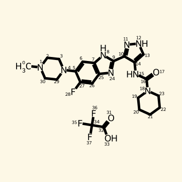 CN1CCN(c2cc3[nH]c(-c4n[nH]cc4NC(=O)N4CCCCC4)nc3cc2F)CC1.O=C(O)C(F)(F)F